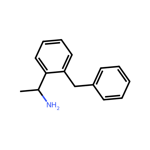 CC(N)c1ccccc1Cc1ccccc1